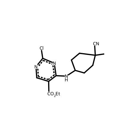 CCOC(=O)c1cnc(Cl)nc1NC1CCC(C)(C#N)CC1